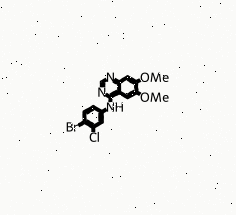 COc1cc2ncnc(Nc3ccc(Br)c(Cl)c3)c2cc1OC